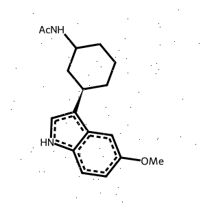 COc1ccc2[nH]cc([C@@H]3CCCC(NC(C)=O)C3)c2c1